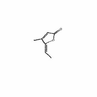 C/C=C1\OC(=O)C=C1C